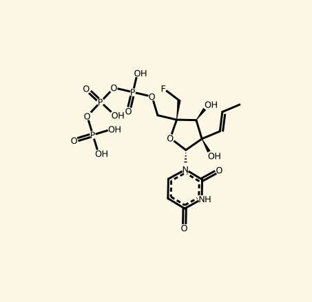 C/C=C/[C@@]1(O)[C@H](O)[C@@](CF)(COP(=O)(O)OP(=O)(O)OP(=O)(O)O)O[C@H]1n1ccc(=O)[nH]c1=O